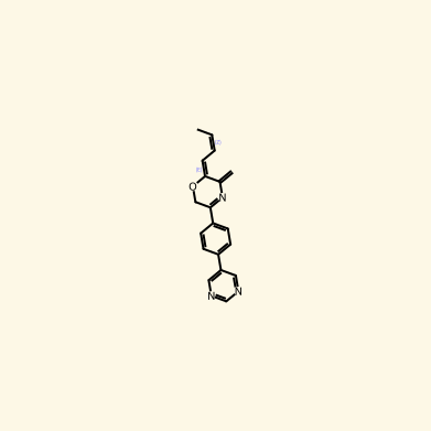 C=C1N=C(c2ccc(-c3cncnc3)cc2)CO/C1=C/C=C\C